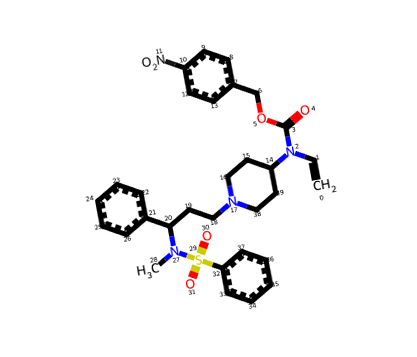 C=CN(C(=O)OCc1ccc([N+](=O)[O-])cc1)C1CCN(CCC(c2ccccc2)N(C)S(=O)(=O)c2ccccc2)CC1